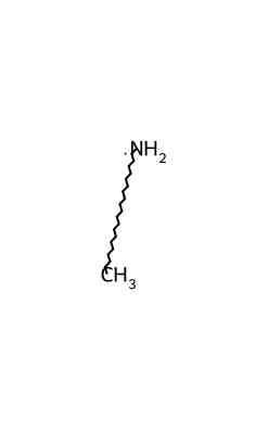 CCCCCCCCCCCCCCCCCCC[CH]N